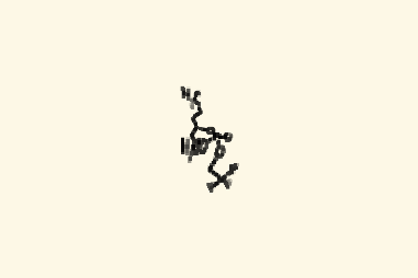 CCCC(CC)OP(=O)(O)OCC(F)(F)F